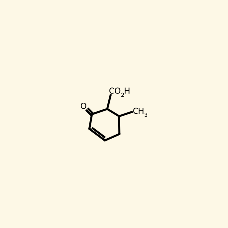 CC1CC=CC(=O)C1C(=O)O